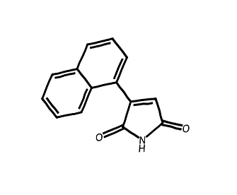 O=C1C=C(c2cccc3ccccc23)C(=O)N1